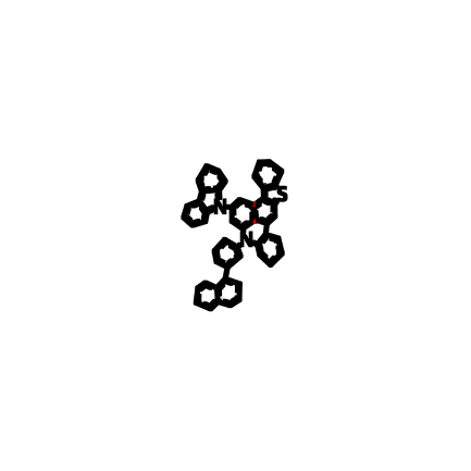 c1cc(-c2cccc3ccccc23)cc(N(c2cccc(-n3c4ccccc4c4ccccc43)c2)c2ccccc2-c2ccc3c(c2)sc2ccccc23)c1